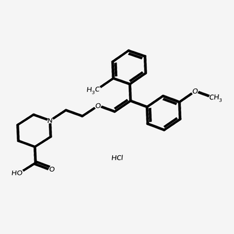 COc1cccc(C(=COCCN2CCCC(C(=O)O)C2)c2ccccc2C)c1.Cl